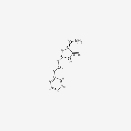 BO[C@@H]1CC(COCc2ccccc2)OC1=C